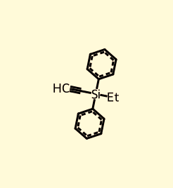 C#C[Si](CC)(c1ccccc1)c1ccccc1